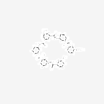 CNc1cccc(S(=O)(=O)c2cccc(NC(=O)c3cc(O)cc(C(=O)Nc4cccc(S(=O)(=O)c5cccc(NC(=O)c6cccc(C(C)=O)c6)c5)c4)c3)c2)c1